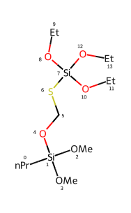 CCC[Si](OC)(OC)OCS[Si](OCC)(OCC)OCC